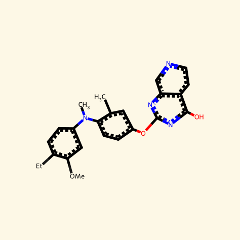 CCc1ccc(N(C)c2ccc(Oc3nc(O)c4ccncc4n3)cc2C)cc1OC